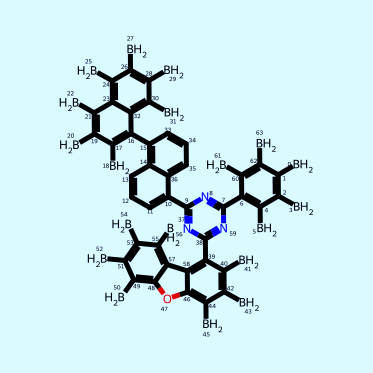 Bc1c(B)c(B)c(-c2nc(-c3cccc4c(-c5c(B)c(B)c(B)c6c(B)c(B)c(B)c(B)c56)cccc34)nc(-c3c(B)c(B)c(B)c4oc5c(B)c(B)c(B)c(B)c5c34)n2)c(B)c1B